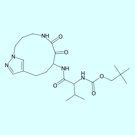 CC(C)C(NC(=O)OCC(C)(C)C)C(=O)NC1CCc2cnn(c2)CCCNC(=O)C1=O